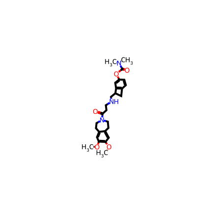 COc1cc2c(cc1OC)CCN(C(=O)CCNCC1Cc3ccc(OC(=O)N(C)C)cc31)CC2